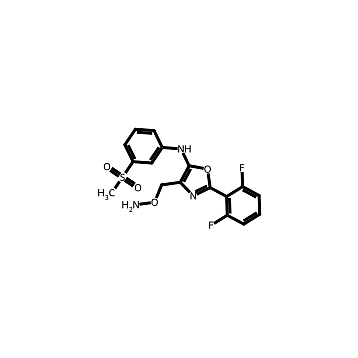 CS(=O)(=O)c1cccc(Nc2oc(-c3c(F)cccc3F)nc2CON)c1